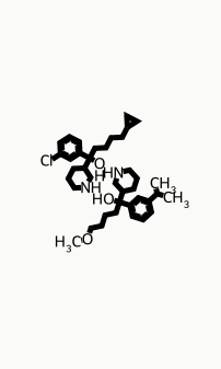 COCCCCC(O)(c1cccc(C(C)C)c1)C1CCCNC1.OC(CCCCC1CC1)(c1cccc(Cl)c1)C1CCCNC1